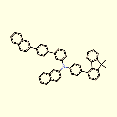 CC1(C)c2ccccc2-c2c(-c3ccc(N(c4cccc(-c5ccc(-c6ccc7ccccc7c6)cc5)c4)c4ccc5ccccc5c4)cc3)cccc21